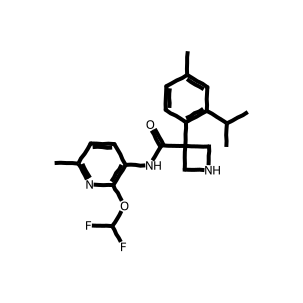 Cc1ccc(C2(C(=O)Nc3ccc(C)nc3OC(F)F)CNC2)c(C(C)C)c1